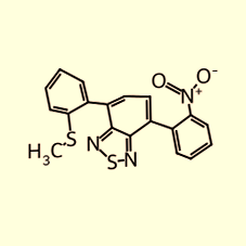 CSc1ccccc1-c1ccc(-c2ccccc2[N+](=O)[O-])c2nsnc12